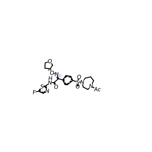 CC(=O)N1CCCN(S(=O)(=O)c2ccc(/C(=N/O[C@@H]3CCOC3)C(=O)Nc3ncc(F)s3)cc2)CC1